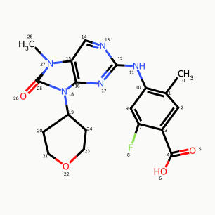 Cc1cc(C(=O)O)c(F)cc1Nc1ncc2c(n1)n(C1CCOCC1)c(=O)n2C